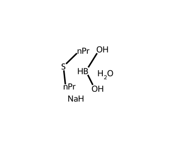 CCCSCCC.O.OBO.[NaH]